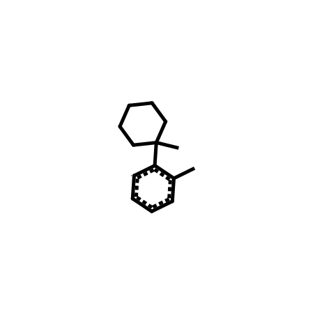 Cc1ccc[c]c1C1(C)CCCCC1